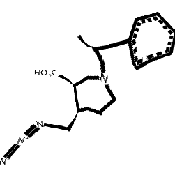 C[C@@H](c1ccccc1)N1CC[C@@H](CN=[N+]=[N-])[C@H]1C(=O)O